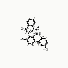 O=[N+]([O-])c1ccccc1S(=O)(=O)Nc1cc(F)ccc1-c1nc(Cl)ncc1F